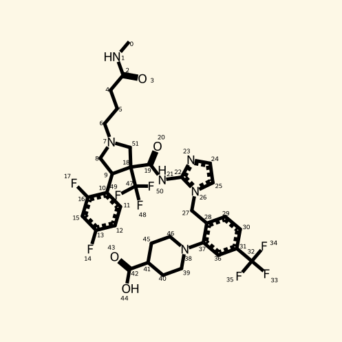 CNC(=O)CCCN1CC(c2ccc(F)cc2F)C(C(=O)Nc2nccn2Cc2ccc(C(F)(F)F)cc2N2CCC(C(=O)O)CC2)(C(F)(F)F)C1